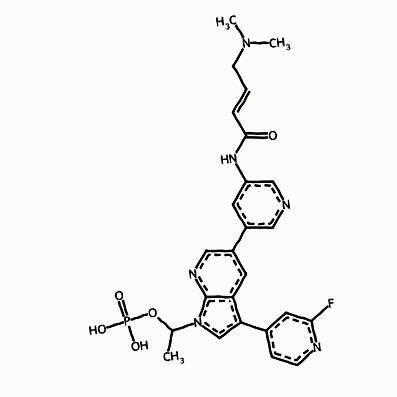 CC(OP(=O)(O)O)n1cc(-c2ccnc(F)c2)c2cc(-c3cncc(NC(=O)/C=C/CN(C)C)c3)cnc21